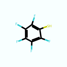 Fc1c(F)c(F)c(S)c(F)c1F